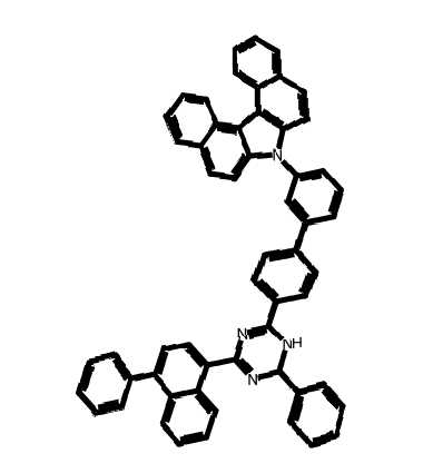 c1ccc(-c2ccc(C3=NC(c4ccccc4)NC(c4ccc(-c5cccc(-n6c7ccc8ccccc8c7c7c8ccccc8ccc76)c5)cc4)=N3)c3ccccc23)cc1